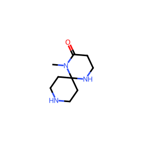 CN1C(=O)CCNC12CCNCC2